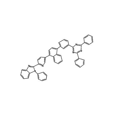 c1ccc(-c2nc(-c3ccccc3)nc(-c3cccc(-c4ccc(-c5ccc(-c6nc7ccccc7n6-c6ccccc6)nc5)c5ccccc45)c3)n2)cc1